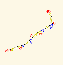 O=C(NCCSCC/N=C/[S+]([O-])CSCSC(=O)NCCSCC/N=C/[S+]([O-])CSCSCO)SCSCSCO